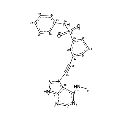 CNc1ncnc2[nH]cc(C#Cc3cccc(S(=O)(=O)Nc4ccccc4)c3)c12